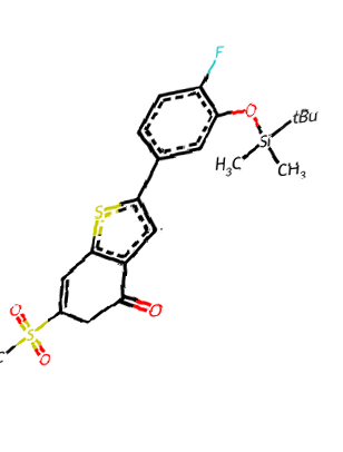 CC(C)(C)[Si](C)(C)Oc1cc(-c2[c]c3c(s2)C=C(S(=O)(=O)C(F)(F)F)CC3=O)ccc1F